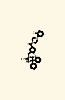 N=C1NC(c2ccccc2)(c2ccccc2)C(=O)N1Cc1cccc(C(=O)N2CCN(c3ccccc3Cl)CC2)c1